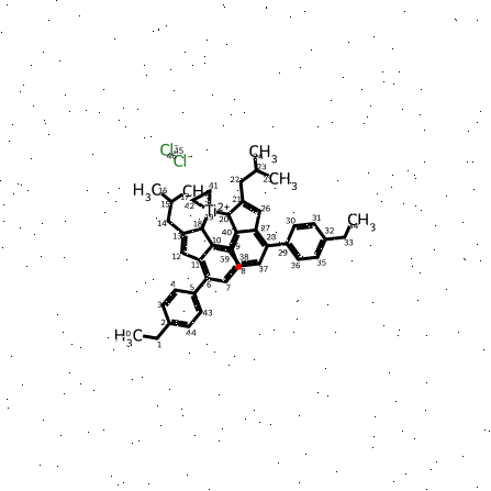 CCc1ccc(-c2cccc3c2C=C(CC(C)C)[CH]3[Ti+2]2([CH]3C(CC(C)C)=Cc4c(-c5ccc(CC)cc5)cccc43)[CH2][CH2]2)cc1.[Cl-].[Cl-]